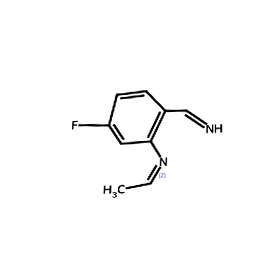 C/C=N\c1cc(F)ccc1C=N